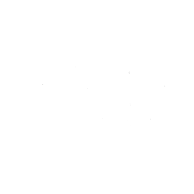 CCC(C)(CC)C1CCS(=O)(=O)CC1